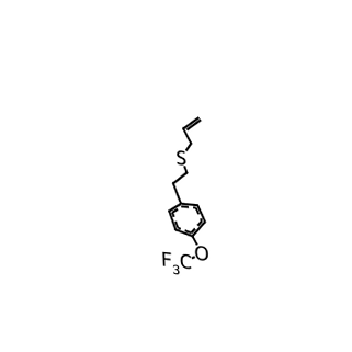 C=CCSCCc1ccc(OC(F)(F)F)cc1